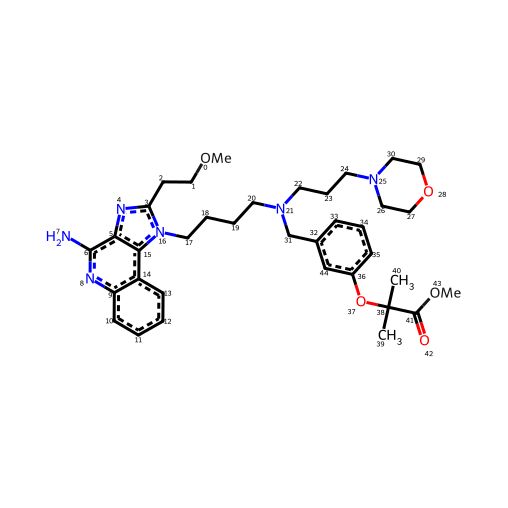 COCCc1nc2c(N)nc3ccccc3c2n1CCCCN(CCCN1CCOCC1)Cc1cccc(OC(C)(C)C(=O)OC)c1